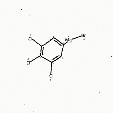 Clc1c[c]([Mg][Br])cc(Cl)c1Cl